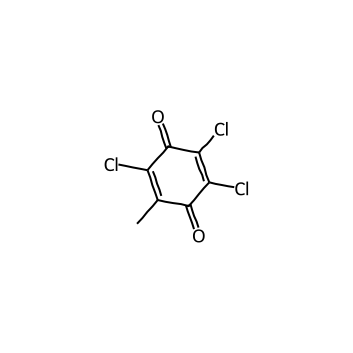 CC1=C(Cl)C(=O)C(Cl)=C(Cl)C1=O